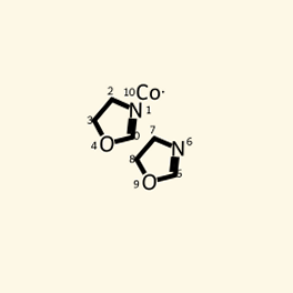 C1=NCCO1.C1=NCCO1.[Co]